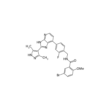 COc1ccc(Br)cc1C(=O)NCc1ccc(-c2ccnc3[nH]c(-c4c(C)n[nH]c4C)nc23)cc1F